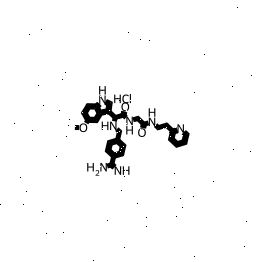 COc1ccc2[nH]cc(C(NCc3ccc(C(=N)N)cc3)C(=O)NCC(=O)NCCc3ccccn3)c2c1.Cl